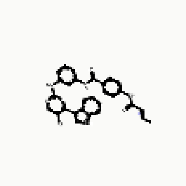 C/C=C/C(=O)Nc1ccc(C(=O)Nc2cccc(Nc3ncc(Cl)c(-c4c[nH]c5ccccc45)n3)c2)cc1